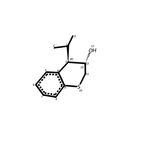 CC(C)[C@@H]1c2ccccc2SC[C@H]1O